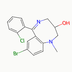 CN1CC(O)C/N=C(/c2ccccc2Cl)c2cc(Br)ccc21